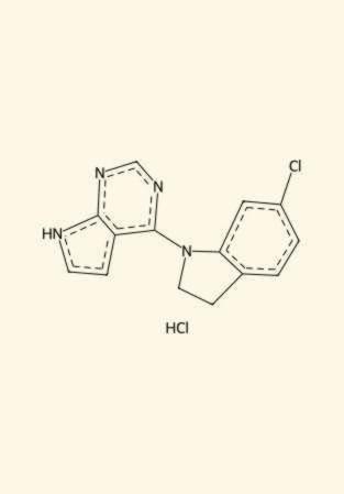 Cl.Clc1ccc2c(c1)N(c1ncnc3[nH]ccc13)CC2